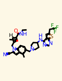 CCNC(=O)C12CC(Cn3c(C#N)cc4c(C)c(CN5CCC(Nc6ncnc7sc(CC(F)(F)F)cc67)CC5)ccc43)(C1)[C@@H]2C